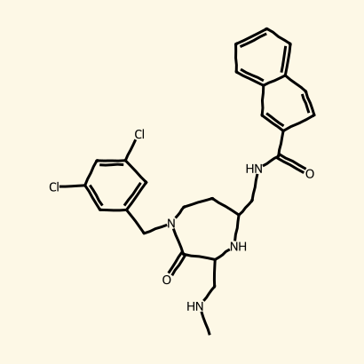 CNCC1NC(CNC(=O)c2ccc3ccccc3c2)CCN(Cc2cc(Cl)cc(Cl)c2)C1=O